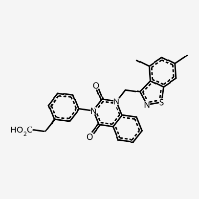 Cc1cc(C)c2c(Cn3c(=O)n(-c4cccc(CC(=O)O)c4)c(=O)c4ccccc43)nsc2c1